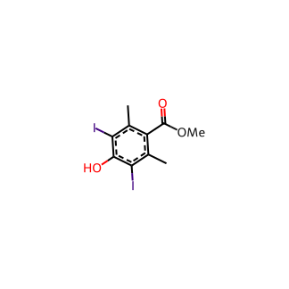 COC(=O)c1c(C)c(I)c(O)c(I)c1C